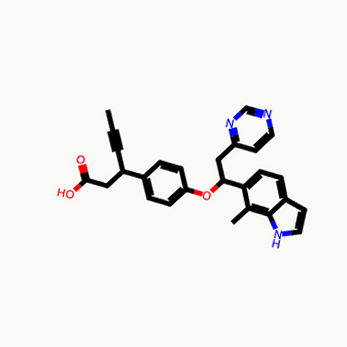 CC#CC(CC(=O)O)c1ccc(OC(Cc2ccncn2)c2ccc3cc[nH]c3c2C)cc1